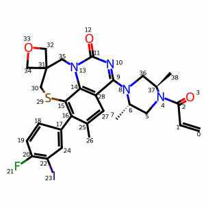 C=CC(=O)N1C[C@H](C)N(c2nc(=O)n3c4c(c(-c5ccc(F)c(I)c5)c(C)cc24)SCC2(COC2)C3)C[C@H]1C